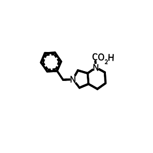 O=C(O)N1CCCC2CN(Cc3ccccc3)CC21